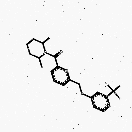 CC1CCCC(C)N1C(=O)c1cccc(CSc2cccc(C(C)(F)F)c2)n1